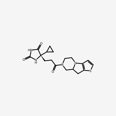 O=C1NC(=O)[C@](CCC(=O)N2CCN3c4ccsc4CC3C2)(C2CC2)N1